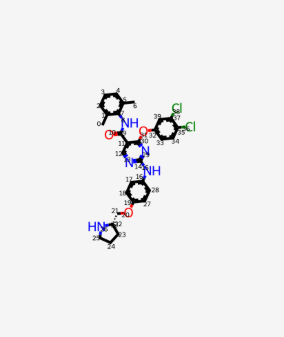 Cc1cccc(C)c1NC(=O)c1cnc(Nc2ccc(OC[C@@H]3CCCN3)cc2)nc1Oc1ccc(Cl)c(Cl)c1